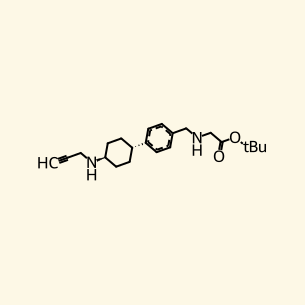 C#CCN[C@H]1CC[C@H](c2ccc(CNCC(=O)OC(C)(C)C)cc2)CC1